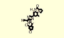 CC1CC(c2cnc3c(C#N)nn([C@H](C)c4ccc(Cl)cc4Cl)c3n2)=CCC1N1CCCC1C(N)=O